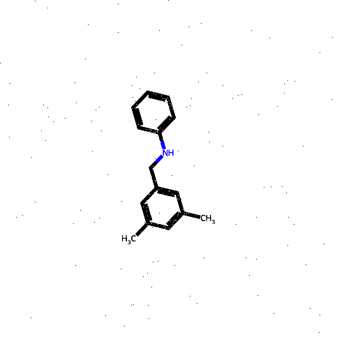 Cc1cc(C)cc(CNc2ccccc2)c1